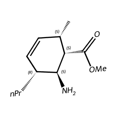 CCC[C@@H]1C=C[C@H](C)[C@H](C(=O)OC)[C@H]1N